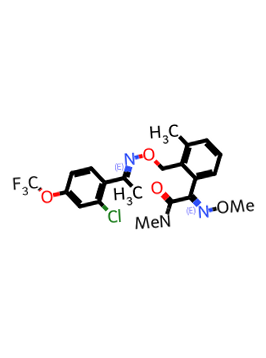 CNC(=O)/C(=N/OC)c1cccc(C)c1CO/N=C(\C)c1ccc(OC(F)(F)F)cc1Cl